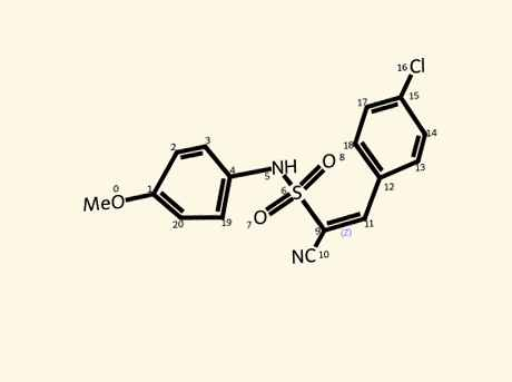 COc1ccc(NS(=O)(=O)/C(C#N)=C\c2ccc(Cl)cc2)cc1